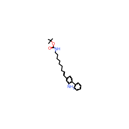 CC(C)(C)OC(=O)NCCCCCCCC=Cc1ccc(-c2ccccc2)c(N)c1